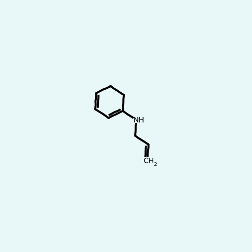 C=CCNC1=CC=CCC1